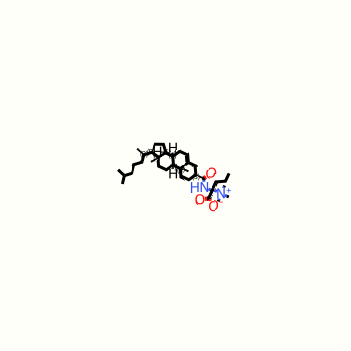 CCCC(NC(=O)[C@H]1CC[C@@]2(C)C(=CC[C@H]3[C@@H]4CC[C@H]([C@H](C)CCCC(C)C)[C@@]4(C)CC[C@@H]32)C1)(C(=O)[O-])[N+](C)(C)C